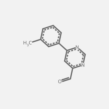 Cc1cccc(-c2cc(C=O)ncn2)c1